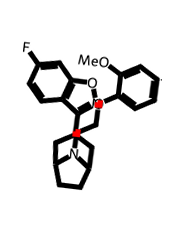 COc1c[c]ccc1OCCN1C2CCC1CC(c1noc3cc(F)ccc13)C2